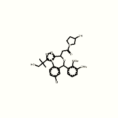 COc1cccc(C2OC(CC(=O)N3CCC(O)C3)c3nnc(C(C)(C)CO)n3-c3ccc(Cl)cc32)c1OC